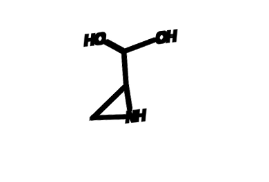 OC(O)C1CN1